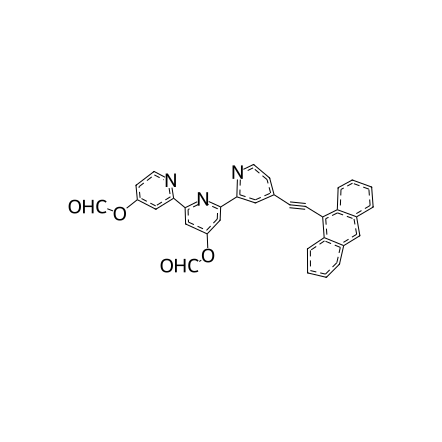 O=COc1ccnc(-c2cc(OC=O)cc(-c3cc(C#Cc4c5ccccc5cc5ccccc45)ccn3)n2)c1